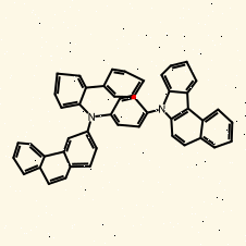 c1ccc(-c2ccccc2N(c2ccc(-n3c4ccccc4c4c5ccccc5ccc43)cc2)c2ccc3ccc4ccccc4c3c2)cc1